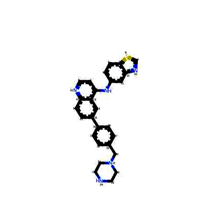 c1cc(Nc2ccc3scnc3c2)c2cc(-c3ccc(CN4CCNCC4)cc3)ccc2n1